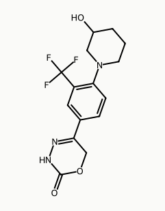 O=C1NN=C(c2ccc(N3CCCC(O)C3)c(C(F)(F)F)c2)CO1